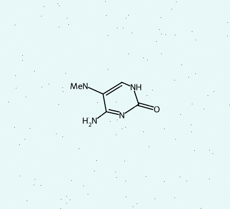 CNc1c[nH]c(=O)nc1N